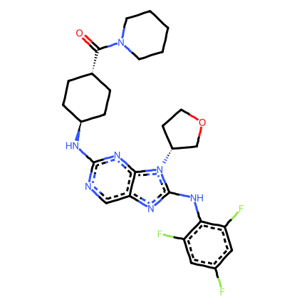 O=C([C@H]1CC[C@H](Nc2ncc3nc(Nc4c(F)cc(F)cc4F)n([C@@H]4CCOC4)c3n2)CC1)N1CCCCC1